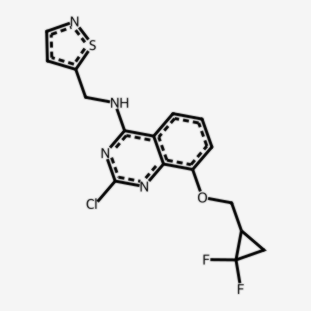 FC1(F)CC1COc1cccc2c(NCc3ccns3)nc(Cl)nc12